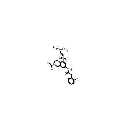 CN(C)/C=N/S(=O)(=O)c1cc(NC(=O)Cc2ccccc2Cl)cc2c1CCN(C(Cl)Cl)C2